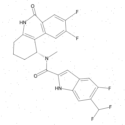 CN(C(=O)c1cc2cc(F)c(C(F)F)cc2[nH]1)[C@@H]1CCCc2[nH]c(=O)c3cc(F)c(F)cc3c21